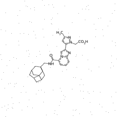 Cc1cc(-c2cn3c(C(=O)NCC45CC6CC7CC(C4)C7(C6)C5)cccc3n2)n(CC(=O)O)n1